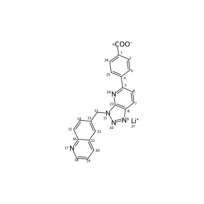 O=C([O-])c1ccc(-c2ccc3nnn(Cc4ccc5ncccc5c4)c3n2)cc1.[Li+]